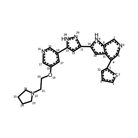 c1csc(-c2cncc3[nH]c(-c4cc(-c5cncc(OCCN6CCCC6)c5)[nH]n4)cc23)c1